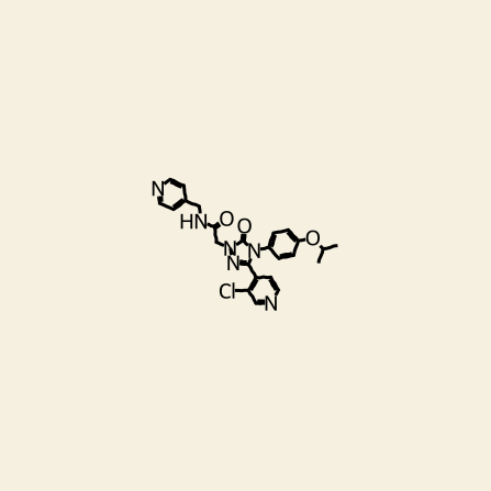 CC(C)Oc1ccc(-n2c(-c3ccncc3Cl)nn(CC(=O)NCc3ccncc3)c2=O)cc1